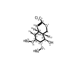 CCCCO[C@H]1[C@H](O)[C@H]2COC(C(Cl)(Cl)Cl)=N[C@H]2[C@H](I)[C@@H]1OCCCC